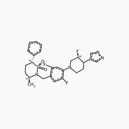 C[C@H]1CC[C@H](c2ccccc2)S(=O)(=O)N1Cc1cc(F)c(N2CCC(n3cnnc3)[C@H](F)C2)cc1F